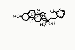 C[C@]12CC[C@H]3[C@@H](CC=C4C[C@@H](O)CC[C@@]43C)[C@@H]1CC[C@@H]2[C@](C)(O)CCc1cccnc1Cl